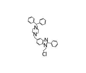 ClCCn1c(-c2ccccc2)nc2cc(CN3CCN(C(c4ccccc4)c4ccccc4)CC3)ccc21